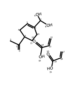 C=C(C)C1CC=C(C(O)O)CC1.C=CC(=O)O.C=CC(=O)O